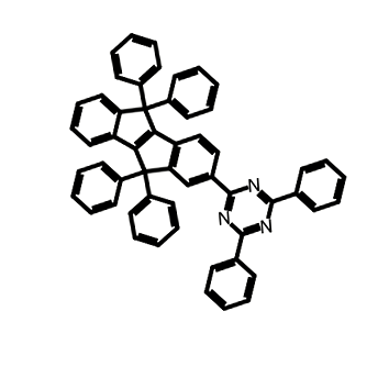 c1ccc(-c2nc(-c3ccccc3)nc(-c3ccc4c(c3)C(c3ccccc3)(c3ccccc3)C3=C4C(c4ccccc4)(c4ccccc4)c4ccccc43)n2)cc1